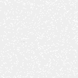 COC(OC)c1cccc2c1C(=O)C=CC2=O